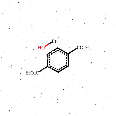 CCO.CCOC(=O)c1ccc(C(=O)OCC)cc1